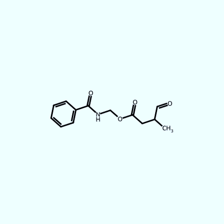 CC(C=O)CC(=O)OCNC(=O)c1ccccc1